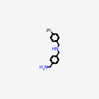 CC(C)c1ccc(CNCc2ccc(CN)cc2)cc1